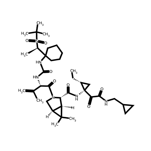 C=C(C)[C@H](NC(=O)NC1([C@@H](C)S(=O)(=O)C(C)(C)C)CCCCC1)C(=O)N1C[C@H]2[C@@H]([C@H]1C(=O)N[C@@]1(C(=O)C(=O)NCC3CC3)C[C@H]1CC)C2(C)C